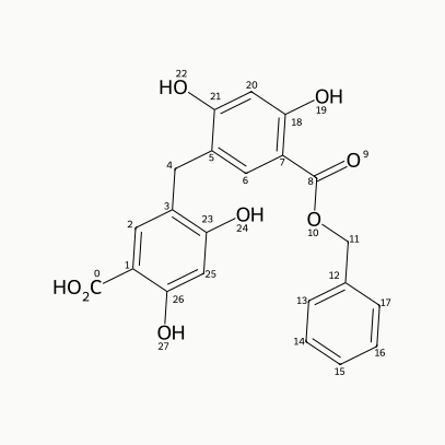 O=C(O)c1cc(Cc2cc(C(=O)OCc3ccccc3)c(O)cc2O)c(O)cc1O